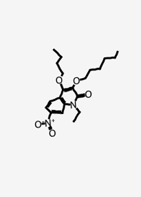 CCCCCCOc1c(OCCCC)c2ccc([N+](=O)[O-])cc2n(CC)c1=O